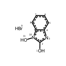 Br.Oc1nc2ccccc2n1O